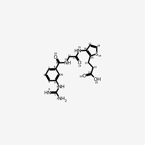 N=C(N)Nc1cccc(C(=O)NCC(=O)Nc2ccsc2CCC(=O)O)c1